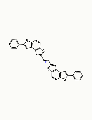 C(=C\c1cc2c(ccc3sc(-c4ccccc4)cc32)s1)/c1cc2c(ccc3sc(-c4ccccc4)cc32)s1